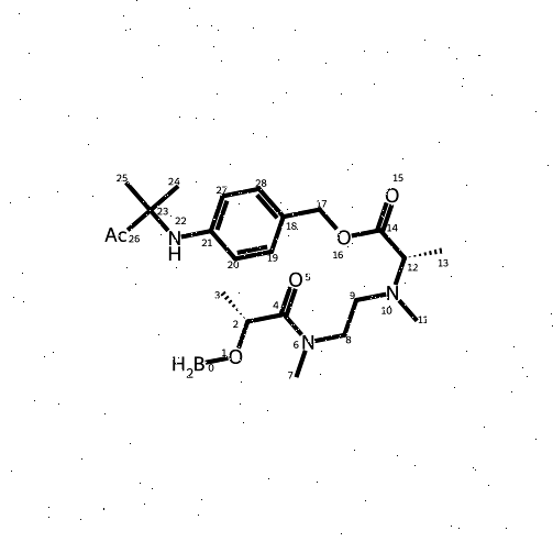 BO[C@H](C)C(=O)N(C)CCN(C)[C@@H](C)C(=O)OCc1ccc(NC(C)(C)C(C)=O)cc1